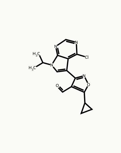 CC(C)n1cc(-c2noc(C3CC3)c2C=O)c2c(Cl)ncnc21